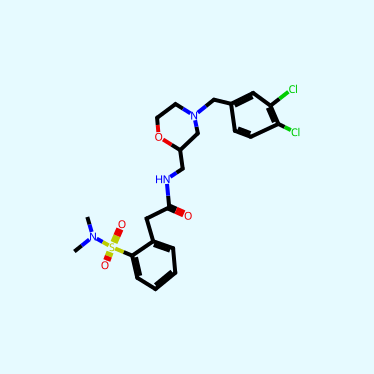 CN(C)S(=O)(=O)c1ccccc1CC(=O)NCC1CN(Cc2ccc(Cl)c(Cl)c2)CCO1